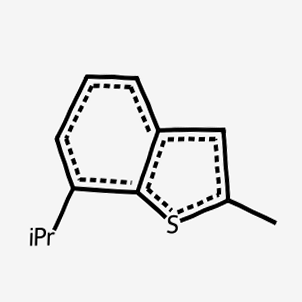 Cc1cc2cccc(C(C)C)c2s1